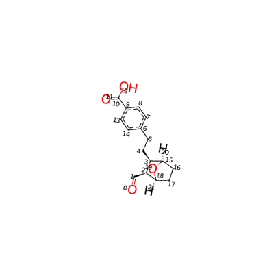 O=C[C@H]1[C@@H](CCc2ccc(C(=O)O)cc2)[C@H]2CC[C@@H]1O2